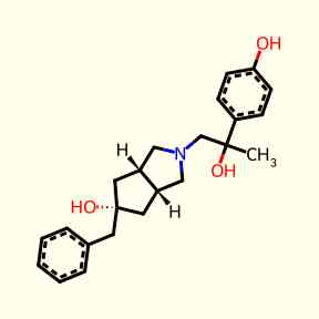 CC(O)(CN1C[C@@H]2C[C@@](O)(Cc3ccccc3)C[C@@H]2C1)c1ccc(O)cc1